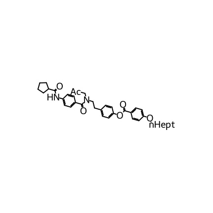 CCCCCCCOc1ccc(C(=O)Oc2ccc(CCN(CC(C)=O)C(=O)c3ccc(NC(=O)C4CCCC4)cc3)cc2)cc1